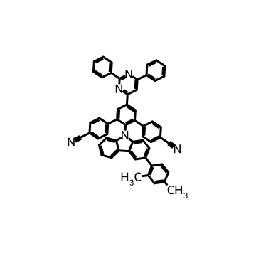 Cc1ccc(-c2ccc3c(c2)c2ccccc2n3-c2c(-c3ccc(C#N)cc3)cc(-c3cc(-c4ccccc4)nc(-c4ccccc4)n3)cc2-c2ccc(C#N)cc2)c(C)c1